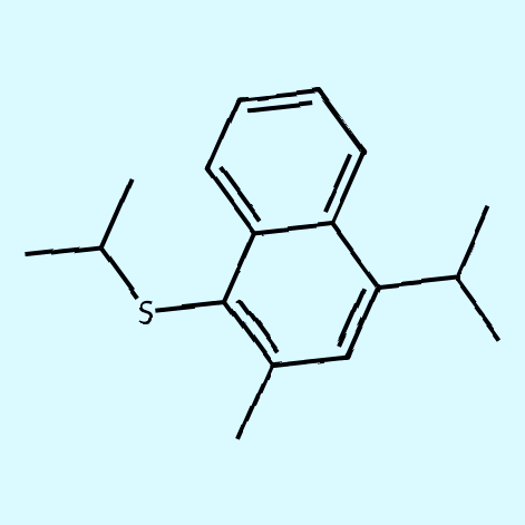 Cc1cc(C(C)C)c2ccccc2c1SC(C)C